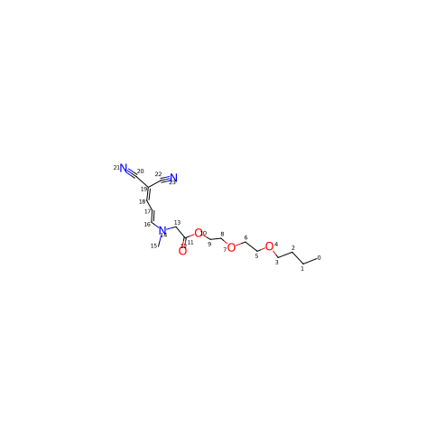 CCCCOCCOCCOC(=O)CN(C)/C=C/C=C(C#N)C#N